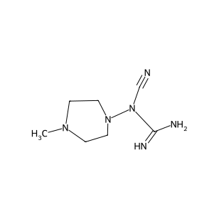 CN1CCN(N(C#N)C(=N)N)CC1